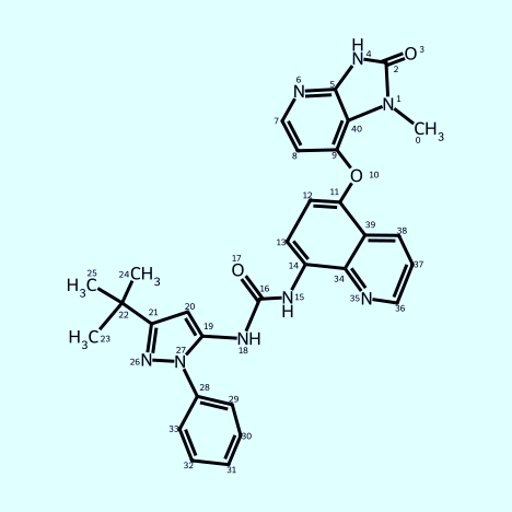 Cn1c(=O)[nH]c2nccc(Oc3ccc(NC(=O)Nc4cc(C(C)(C)C)nn4-c4ccccc4)c4ncccc34)c21